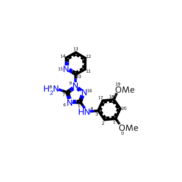 COc1cc(Nc2nc(N)n(-c3ccccn3)n2)cc(OC)c1